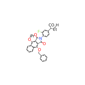 CCC(C(=O)O)c1ccc(N2C(=O)c3c(c(OC(C)C)c4ccccc4c3OCc3ccccc3)C2=O)c(F)c1